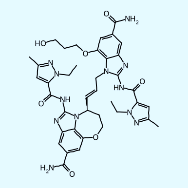 CCn1nc(C)cc1C(=O)Nc1nc2cc(C(N)=O)cc(OCCCO)c2n1C/C=C/[C@H]1CCOc2cc(C(N)=O)cc3nc(NC(=O)c4cc(C)nn4CC)n1c23